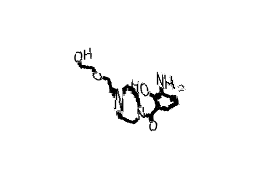 Nc1cccc(C(=O)N2CCN(CCOCCO)CC2)c1O